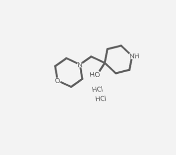 Cl.Cl.OC1(CN2CCOCC2)CCNCC1